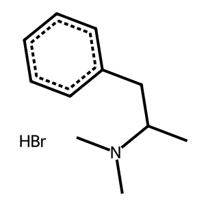 Br.CC(Cc1ccccc1)N(C)C